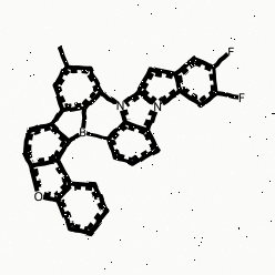 Cc1cc2c3c(c1)-n1c4c(cccc4n4c5cc(F)c(F)cc5cc14)B3c1c-2ccc2oc3ccccc3c12